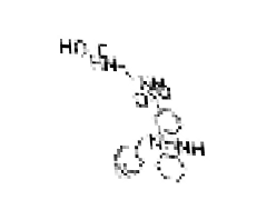 O=C(O)NCCNS(=O)(=O)c1ccc(NC2CCCCC2)c(NCc2ccncc2)c1